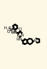 CP(C)(=O)c1ccccc1Nc1nc(Nc2ccc3c(c2)CCC(N2CCCC2)CC3)ncc1Cl